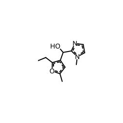 CCc1oc(C)cc1C(O)c1nccn1C